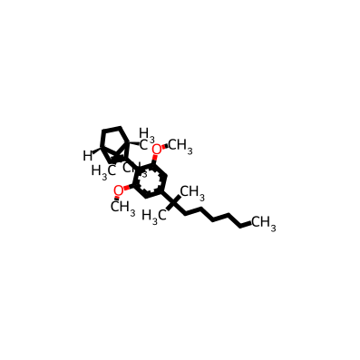 CCCCCCC(C)(C)c1cc(OC)c(C2=C[C@@H]3CC[C@@]2(C)C3(C)C)c(OC)c1